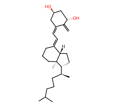 C=C1/C(=C\C=C2/CCC[C@]3(C)[C@@H]([C@@H](C)CCCC(C)C)CC[C@@H]23)C[C@@H](O)C[C@@H]1O